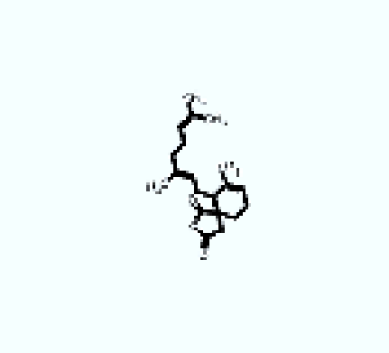 CC(C)=CCC/C(C)=C/CC1C(C)=CCCC12CC(=O)OC2=O